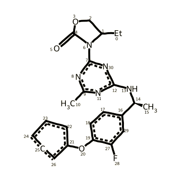 CCC1COC(=O)N1c1nc(C)nc(N[C@@H](C)c2ccc(Oc3ccccc3)c(F)c2)n1